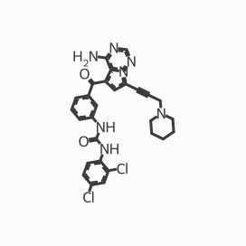 Nc1ncnn2c(C#CCN3CCCCC3)cc(C(=O)c3cccc(NC(=O)Nc4ccc(Cl)cc4Cl)c3)c12